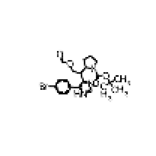 CC(C)(C)OC(=O)N1CCCC1C(COC=O)c1nc[nH]c1-c1ccc(Br)cc1